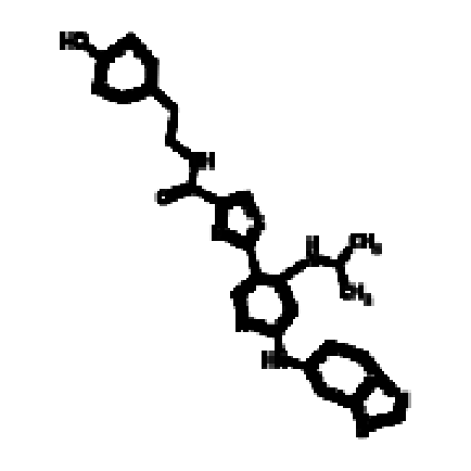 CC(C)Nc1cc(Nc2ccc3ncsc3c2)ncc1-c1nc(C(=O)NCCc2ccc(O)cc2)cs1